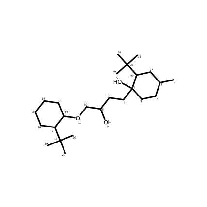 CC1CCC(O)(CCC(O)COC2CCCCC2C(C)(C)C)C(C(C)(C)C)C1